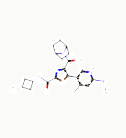 CC[C@@H](C)Nc1cc(C)c(-c2sc(C(=O)N[C@H]3C[C@H](O)C3)nc2C(=O)N2C3CCC2CC3)cn1